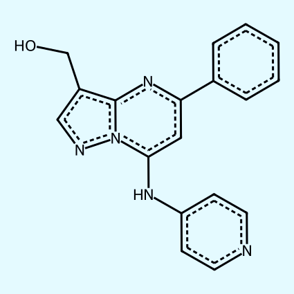 OCc1cnn2c(Nc3ccncc3)cc(-c3ccccc3)nc12